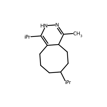 CC1=NNC(C(C)C)=C2CCCC(C(C)C)CCC12